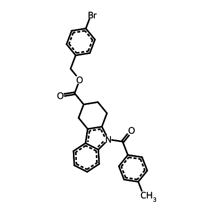 Cc1ccc(C(=O)n2c3c(c4ccccc42)CC(C(=O)OCc2ccc(Br)cc2)CC3)cc1